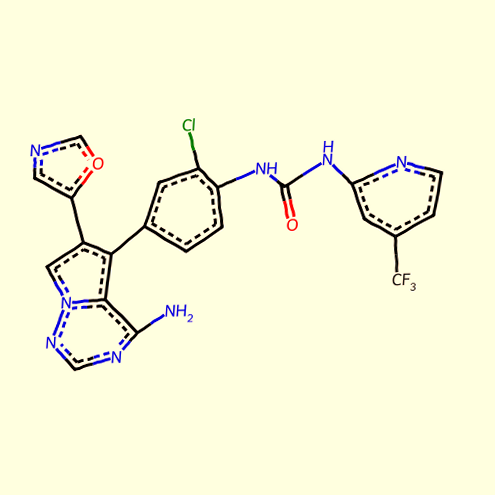 Nc1ncnn2cc(-c3cnco3)c(-c3ccc(NC(=O)Nc4cc(C(F)(F)F)ccn4)c(Cl)c3)c12